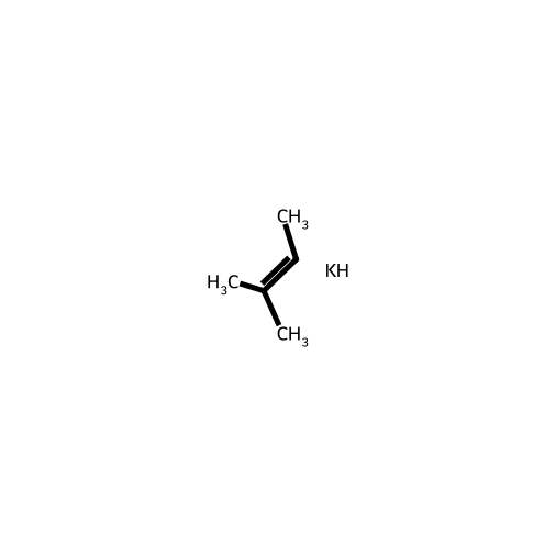 CC=C(C)C.[KH]